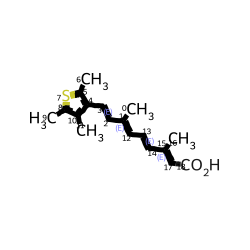 CC(/C=C/c1c(C)sc(C)c1C)=C\C=C\C(C)=C\C(=O)O